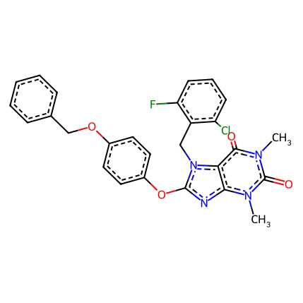 Cn1c(=O)c2c(nc(Oc3ccc(OCc4ccccc4)cc3)n2Cc2c(F)cccc2Cl)n(C)c1=O